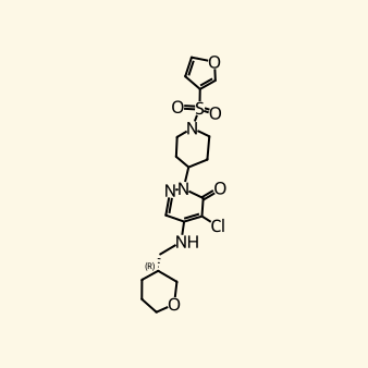 O=c1c(Cl)c(NC[C@H]2CCCOC2)cnn1C1CCN(S(=O)(=O)c2ccoc2)CC1